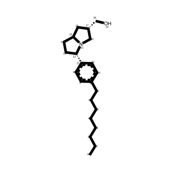 CCCCCCCCc1ccc([C@@H]2CCC3C[C@H](CO)CN32)cc1